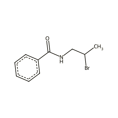 CC(Br)CNC(=O)c1ccccc1